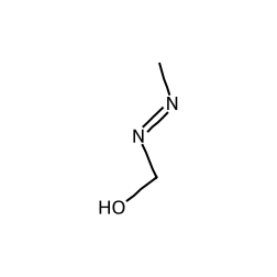 CN=NCO